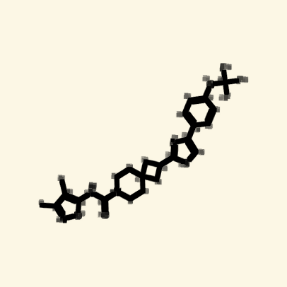 Cc1noc(NC(=O)N2CCC3(CC2)CC(c2nc(-c4ccc(OC(F)(F)F)cc4)cs2)C3)c1C